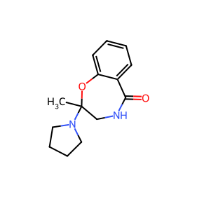 CC1(N2CCCC2)CNC(=O)c2ccccc2O1